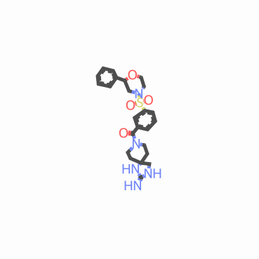 N=C1NCC2(CCN(C(=O)c3cccc(S(=O)(=O)N4CCOC(c5ccccc5)C4)c3)CC2)N1